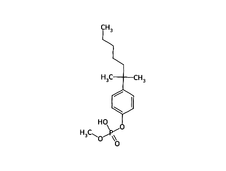 CCCCCC(C)(C)c1ccc(OP(=O)(O)OC)cc1